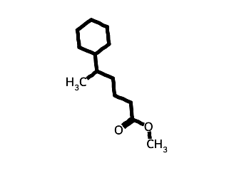 COC(=O)CCCC(C)C1CCCCC1